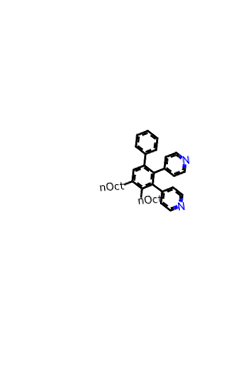 CCCCCCCCc1cc(-c2ccccc2)c(-c2ccncc2)c(-c2ccncc2)c1CCCCCCCC